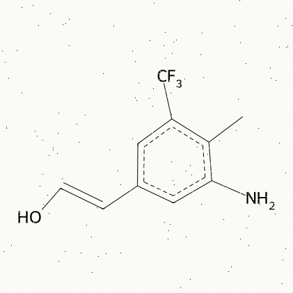 Cc1c(N)cc(/C=C/O)cc1C(F)(F)F